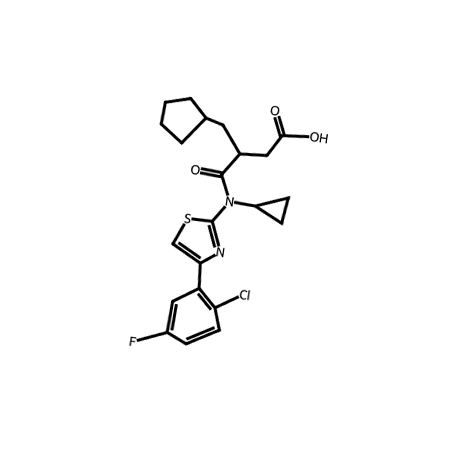 O=C(O)CC(CC1CCCC1)C(=O)N(c1nc(-c2cc(F)ccc2Cl)cs1)C1CC1